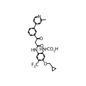 Cc1cc(-c2cccc(C(=O)CC(=O)Nc3cc(C(F)(F)F)c(OCC4CC4)cc3NC(=O)O)c2)ccn1